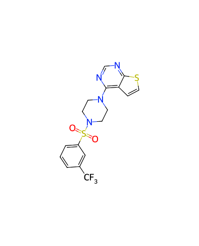 O=S(=O)(c1cccc(C(F)(F)F)c1)N1CCN(c2ncnc3sccc23)CC1